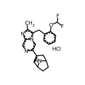 Cc1nc2cnc(C3=CC4CCC(C3)N4)cn2c1Cc1ccccc1OC(F)F.Cl